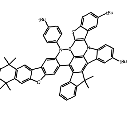 CC(C)(C)c1ccc(N2B3c4sc5ccc(C(C)(C)C)cc5c4-n4c5ccc(C(C)(C)C)cc5c5c6c(c(c3c54)-c3cc4oc5cc7c(cc5c4cc32)C(C)(C)CCC7(C)C)-c2ccccc2C6(C)C)cc1